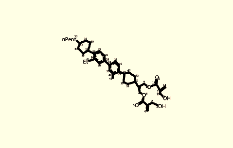 C=C(CO)C(=O)OCC(COC(=O)C(=C)CO)C1CCC(c2ccc(-c3ccc(C4CCC(CCCCC)CC4)c(CC)c3)cc2C)CC1